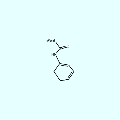 CCCCCC(=O)NC1=CC=CCC1